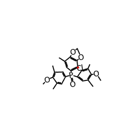 COc1c(C)cc(P(=O)(c2cc(C)c(OC)c(C)c2)c2cc(C)c3c(c2Cl)OCO3)cc1C